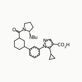 CCCC[C@@H]1CCCN1C(=O)C1CCCC(c2cccc(-n3ncc(C(=O)O)c3C3CC3)c2)C1